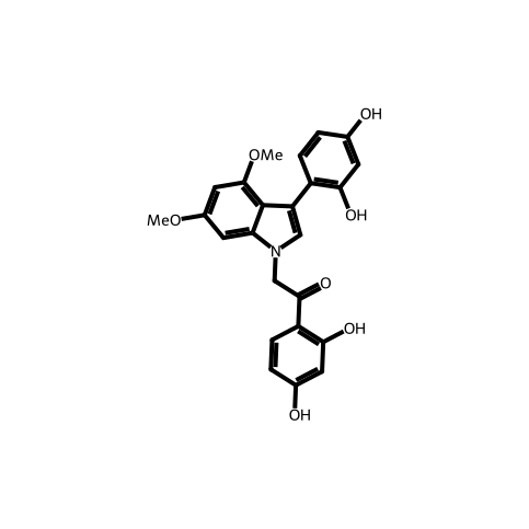 COc1cc(OC)c2c(-c3ccc(O)cc3O)cn(CC(=O)c3ccc(O)cc3O)c2c1